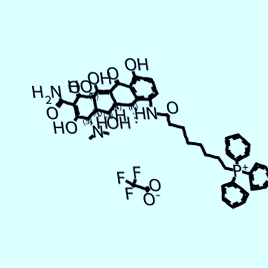 C[C@H]1c2c(NC(=O)CCCCCCC[P+](c3ccccc3)(c3ccccc3)c3ccccc3)ccc(O)c2C(=O)C2=C(O)[C@]3(O)C(=O)C(C(N)=O)=C(O)[C@@H](N(C)C)[C@@H]3[C@@H](O)[C@@H]21.O=C([O-])C(F)(F)F